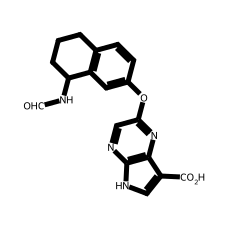 O=CNC1CCCc2ccc(Oc3cnc4[nH]cc(C(=O)O)c4n3)cc21